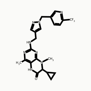 Cc1nc(NCc2cnn(Cc3ccc(C(F)(F)F)nc3)c2)nc2c1NC(=O)C(C1CC1)N2C